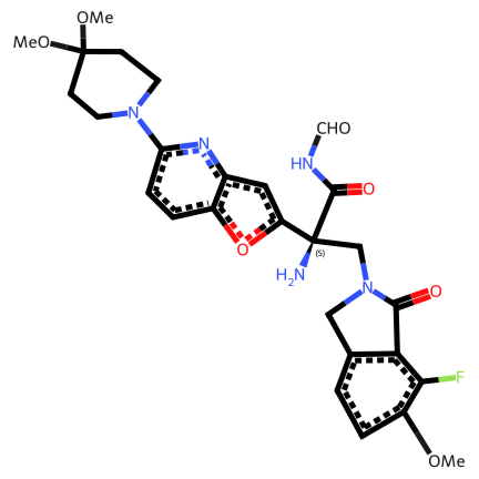 COc1ccc2c(c1F)C(=O)N(C[C@@](N)(C(=O)NC=O)c1cc3nc(N4CCC(OC)(OC)CC4)ccc3o1)C2